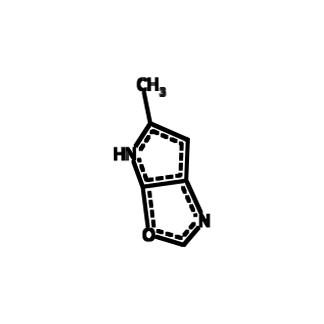 Cc1cc2ncoc2[nH]1